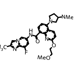 CNC1CCN(c2ccc(C(=O)Nc3cc(F)c4nc(C)cn4c3)c3nc(OCCOC)ccc23)C1